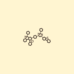 c1ccc(-c2nc(-c3ccc(-c4cc5c(-c6ccccc6)nc6ccccc6c5c5c4oc4ccccc45)cc3)cc(-c3ccc4c(c3)sc3ccccc34)n2)cc1